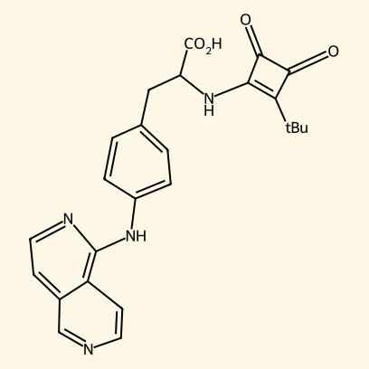 CC(C)(C)c1c(NC(Cc2ccc(Nc3nccc4cnccc34)cc2)C(=O)O)c(=O)c1=O